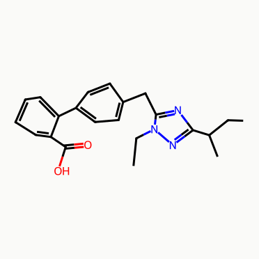 CCC(C)c1nc(Cc2ccc(-c3ccccc3C(=O)O)cc2)n(CC)n1